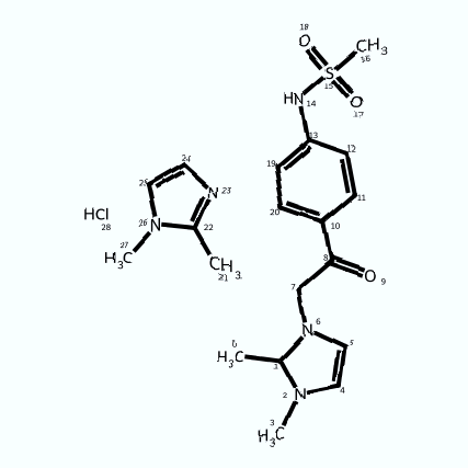 CC1N(C)C=CN1CC(=O)c1ccc(NS(C)(=O)=O)cc1.Cc1nccn1C.Cl